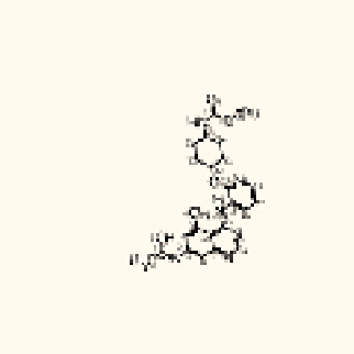 Cc1cc(N=S(C)C)cc2ncnc(Nc3cccnc3OC3CCC(NC(=O)OC(C)(C)C)CC3)c12